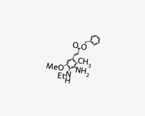 CCNc1c(OC)cc(/C=C/C(=O)OCc2ccccc2)c(C)c1N